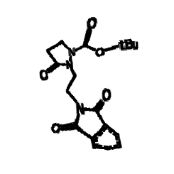 CC(C)(C)OC(=O)N1CCC(=O)N1CCN1C(=O)c2ccccc2C1=O